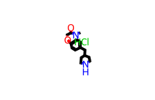 CN1C(=O)COc2ccc(CC3CCNCC3)cc21.Cl